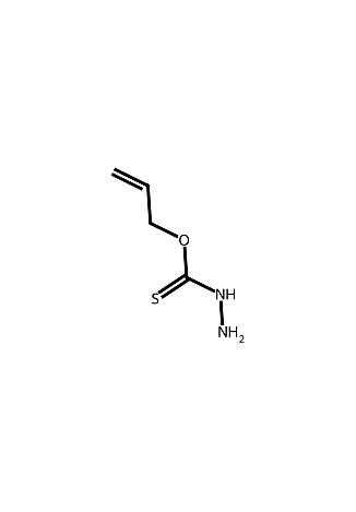 C=CCOC(=S)NN